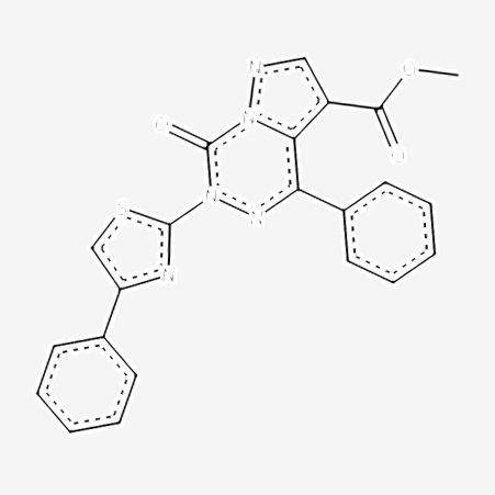 COC(=O)c1cnn2c(=O)n(-c3nc(-c4ccccc4)cs3)nc(-c3ccccc3)c12